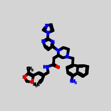 C=C/C(=C\C1=C(C)OCO1)CNC(=O)CC1CN(Cc2ccc(N)c3ccccc23)CCN1c1ccnc(-n2ccnc2)n1